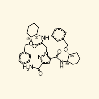 NC(=O)c1cc(C(=O)N[C@@H]2CCCC[C@H]2OCc2ccccc2)n(CC(=O)N[C@H]2CCCC[C@@H]2OCc2ccccc2)n1